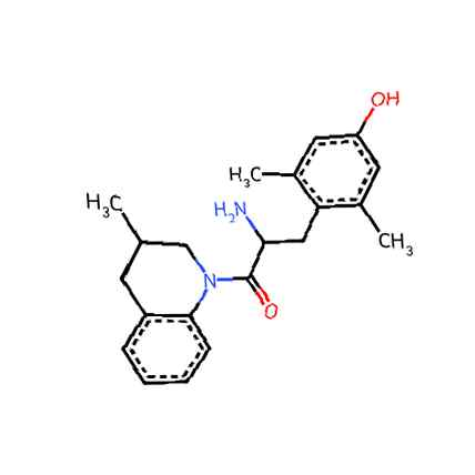 Cc1cc(O)cc(C)c1CC(N)C(=O)N1CC(C)Cc2ccccc21